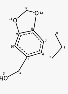 CCC.OCc1ccc2c(c1)OCO2